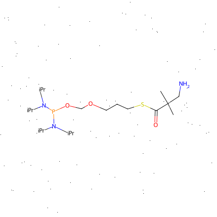 CC(C)N(C(C)C)P(OCOCCCSC(=O)C(C)(C)CN)N(C(C)C)C(C)C